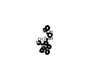 Cc1cc(-c2nn(C(c3ccccc3)(c3ccccc3)c3ccccc3)c3ccc(C(=O)N[C@@H]4CCC[C@](O)(Cn5ncc6ccccc65)C4)cc23)ccn1